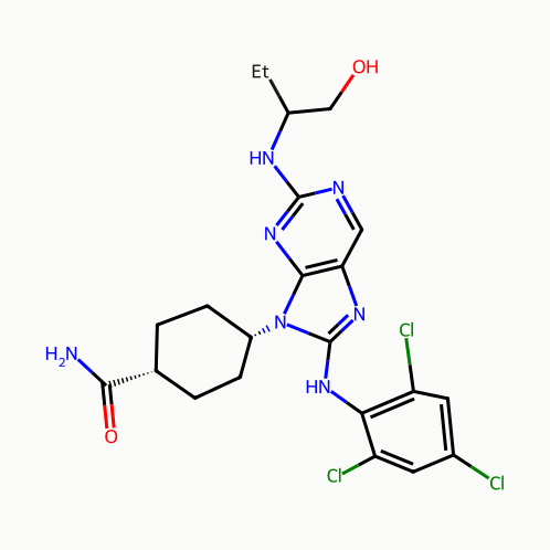 CCC(CO)Nc1ncc2nc(Nc3c(Cl)cc(Cl)cc3Cl)n([C@H]3CC[C@@H](C(N)=O)CC3)c2n1